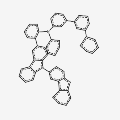 c1ccc(-c2cccc(-c3cccc(N(c4ccccc4)c4ccccc4-c4ccc5c(c4)c4ccccc4n5-c4ccc5sc6ccccc6c5c4)c3)c2)cc1